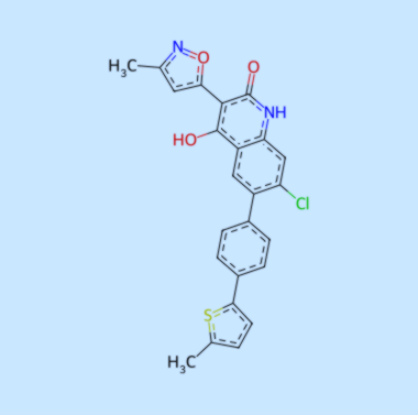 Cc1cc(-c2c(O)c3cc(-c4ccc(-c5ccc(C)s5)cc4)c(Cl)cc3[nH]c2=O)on1